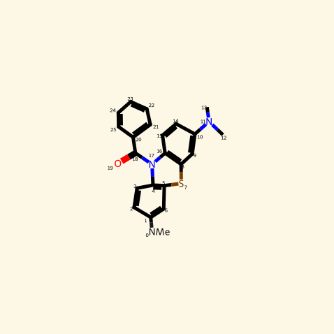 CNc1ccc2c(c1)Sc1cc(N(C)C)ccc1N2C(=O)c1ccccc1